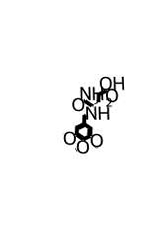 COc1cc(CN[C@@H](CCC(=O)O)C(N)=O)cc(OC)c1OC